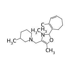 CC1=C(C2OC(C)=C(CN3CCCC(C)C3)N2C)CCCC=C1